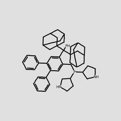 PC(c1cc(-c2ccccc2)c(-c2ccccc2)cc1CP(C1CCNC1)C1CCNC1)(C12CC3CC(CC(C3)C1)C2)C12CC3CC(CC(C3)C1)C2